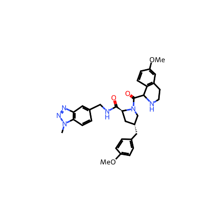 COc1ccc(C[C@@H]2C[C@@H](C(=O)NCc3ccc4c(c3)nnn4C)N(C(=O)C3NCCc4cc(OC)ccc43)C2)cc1